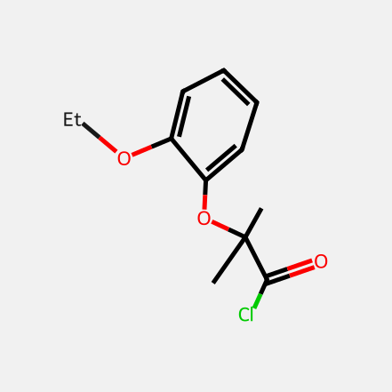 CCOc1ccccc1OC(C)(C)C(=O)Cl